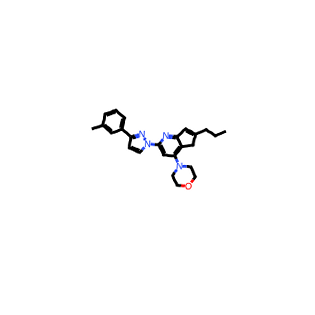 CCCC1=Cc2nc(-n3ccc(-c4cccc(C)c4)n3)cc(N3CCOCC3)c2C1